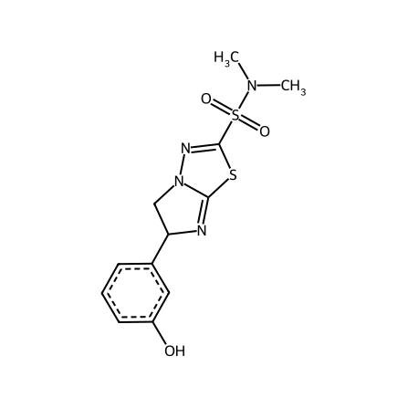 CN(C)S(=O)(=O)C1=NN2CC(c3cccc(O)c3)N=C2S1